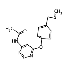 C=CCc1ccc(Oc2cc(NC(C)=O)ncn2)cc1